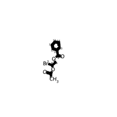 CC(=O)OC(Br)COC(=O)c1ccccc1